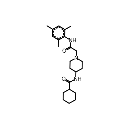 Cc1cc(C)c(NC(=O)CN2CCC(NC(=O)C3CCCCC3)CC2)c(C)c1